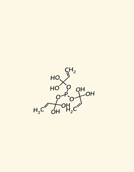 C=CC(O)(O)OP(OC(O)(O)C=C)OC(O)(O)C=C